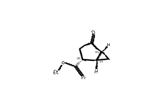 CCOC(=O)[C@@H]1CC(=O)[C@@H]2C[C@@H]21